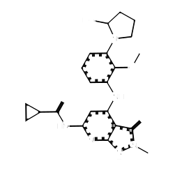 COc1c(Nc2cc(NC(=O)C3CC3)nc3[nH]n(C)c(=O)c23)cccc1N1CCCC1O